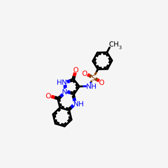 Cc1ccc(S(=O)(=O)Nc2c(=O)[nH]n3c(=O)c4ccccc4[nH]c23)cc1